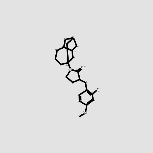 CNc1ccc(CC2CCN(C34CCCC5CC(CC5C3)C4)C2=O)c(Cl)c1